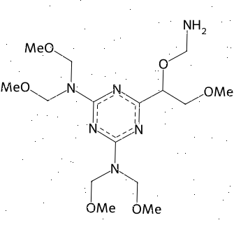 COCC(OCN)c1nc(N(COC)COC)nc(N(COC)COC)n1